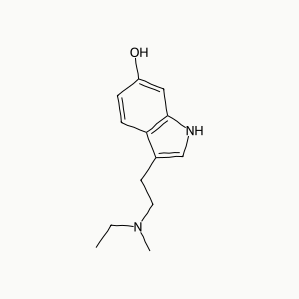 CCN(C)CCc1c[nH]c2cc(O)ccc12